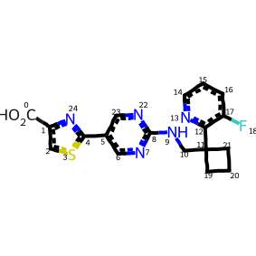 O=C(O)c1csc(-c2cnc(NCC3(c4ncccc4F)CCC3)nc2)n1